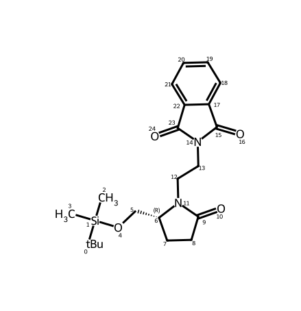 CC(C)(C)[Si](C)(C)OC[C@H]1CCC(=O)N1CCN1C(=O)c2ccccc2C1=O